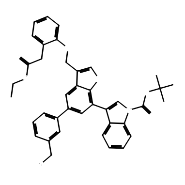 CCOC(=O)Cc1ccccc1OCc1coc2c(-c3cn(C(=O)OC(C)(C)C)c4ccccc34)cc(-c3cccc(CN)c3)cc12